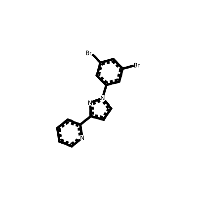 Brc1cc(Br)cc(-n2ccc(-c3ccccn3)n2)c1